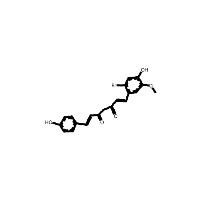 COc1cc(C=CC(=O)CC(=O)C=Cc2ccc(O)cc2)c(Br)cc1O